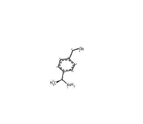 C[C@H]([AsH2])c1ccc(CO)cc1